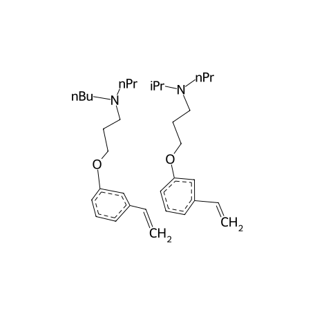 C=Cc1cccc(OCCCN(CCC)C(C)C)c1.C=Cc1cccc(OCCCN(CCC)CCCC)c1